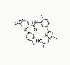 Cc1ccc(-c2cc(C)n(CC(C)O)n2)cc1NC(=O)C1=CNC(=O)C[C@H]1c1ccc(F)cc1